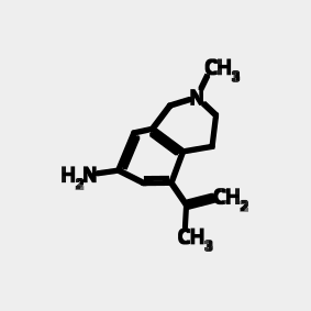 C=C(C)c1cc(N)cc2c1CCN(C)C2